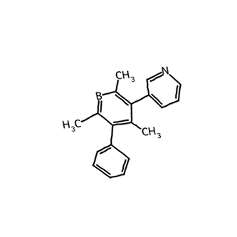 Cc1bc(C)c(-c2cccnc2)c(C)c1-c1ccccc1